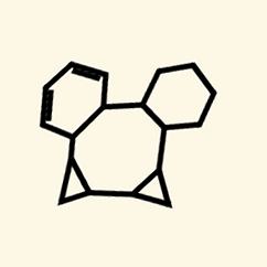 C1=CC2C(C=C1)C1CC1C1CC1C1CCCCC21